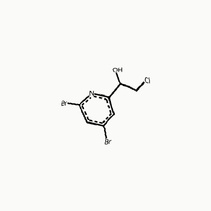 OC(CCl)c1cc(Br)cc(Br)n1